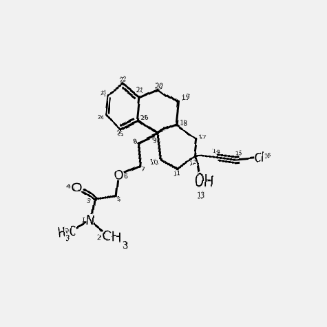 CN(C)C(=O)COCCC12CCC(O)(C#CCl)CC1CCc1c[c]ccc12